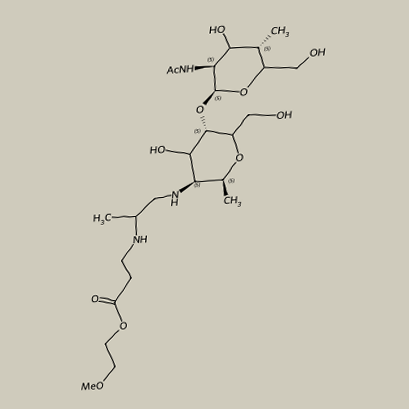 COCCOC(=O)CCNC(C)CN[C@H]1C(O)[C@H](O[C@@H]2OC(CO)[C@@H](C)C(O)[C@@H]2NC(C)=O)C(CO)O[C@H]1C